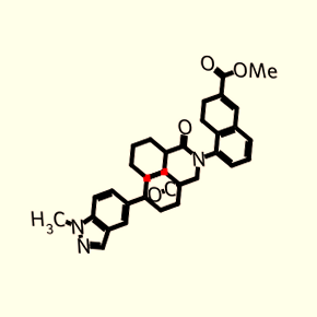 COC(=O)C1=Cc2cccc(N(CC34CCC(c5ccc6c(cnn6C)c5)(CC3)OC4)C(=O)C3CCCCC3)c2CC1